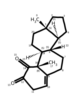 C[C@@]12CCC[C@H]1[C@@H]1CCC3=CCC(=O)C(=O)[C@]3(C)[C@H]1CC2